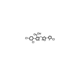 O=C(O)c1c(-c2ccc(Cl)cc2Cl)cnn1Cc1cc(-c2ccc(Cl)s2)on1